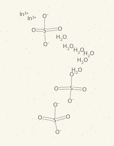 O.O.O.O.O.O.O=S(=O)([O-])[O-].O=S(=O)([O-])[O-].O=S(=O)([O-])[O-].[In+3].[In+3]